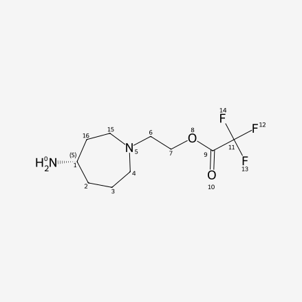 N[C@H]1CCCN(CCOC(=O)C(F)(F)F)CC1